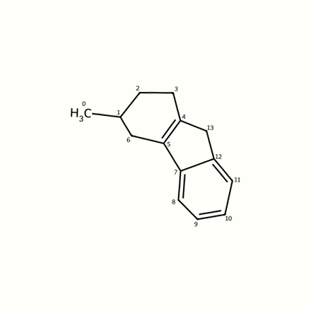 CC1CCC2=C(C1)c1ccccc1C2